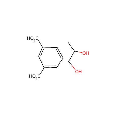 CC(O)CO.O=C(O)c1cccc(C(=O)O)c1